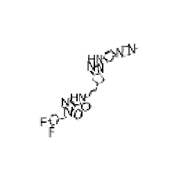 CN1CCN(c2ccc(Nc3ncc4cc(C=CCNC(=O)c5cncn(Cc6ccc(F)c(F)c6)c5=O)ccc4n3)cc2)CC1